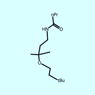 CCCC(=O)NCCC(C)(C)OCCC(C)(C)C